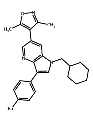 Cc1noc(C)c1-c1cnc2c(-c3ccc(C(C)(C)C)cc3)cn(CC3CCCCC3)c2c1